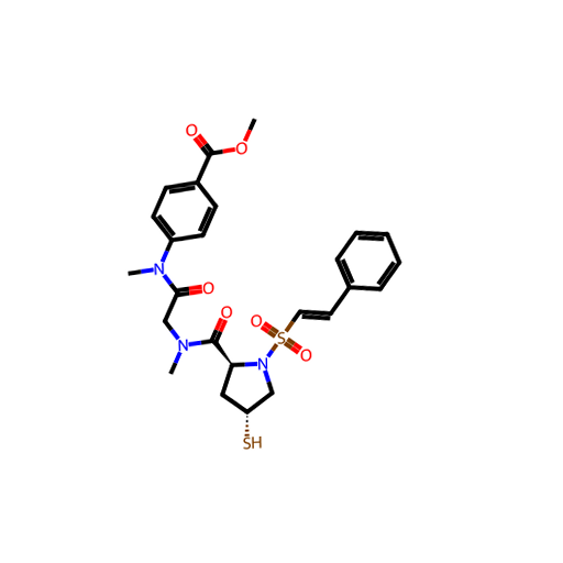 COC(=O)c1ccc(N(C)C(=O)CN(C)C(=O)[C@@H]2C[C@@H](S)CN2S(=O)(=O)C=Cc2ccccc2)cc1